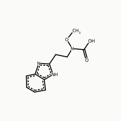 CON(CCc1nc2ccccc2[nH]1)C(=O)O